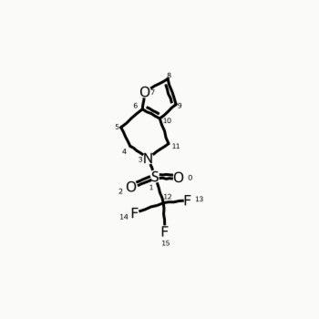 O=S(=O)(N1CCc2occc2C1)C(F)(F)F